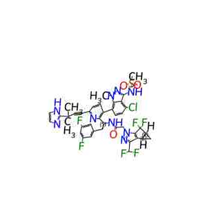 Cn1nc(NS(C)(=O)=O)c2c(Cl)ccc(-c3ccc(C#CC(C)(C)c4ncc[nH]4)nc3[C@H](Cc3cc(F)cc(F)c3)NC(=O)Cn3nc(C(F)F)c4c3C(F)(F)[C@@H]3C[C@H]43)c21